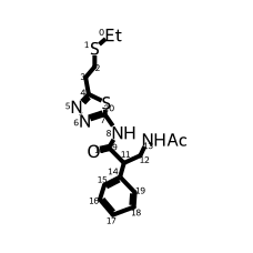 CCSCCc1nnc(NC(=O)C(CNC(C)=O)c2ccccc2)s1